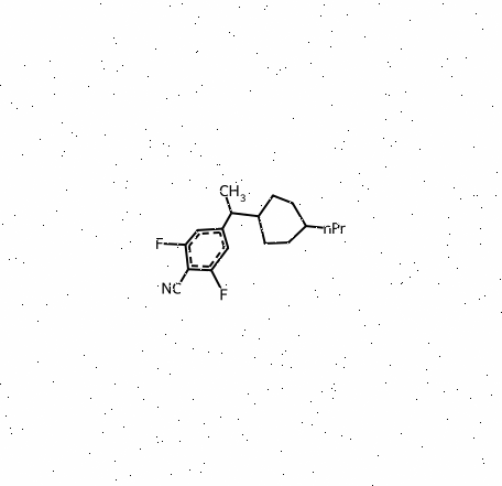 CCCC1CCC(C(C)c2cc(F)c(C#N)c(F)c2)CC1